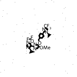 COc1cnc(-c2c(OC(F)F)ncnc2C2CC2)nc1OCc1ccc(-c2nc(C(F)(F)F)cn2C2CC2)cc1